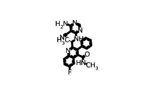 CNC(=O)c1c(-c2ccccc2)c([C@H](C)Nc2ncnc(N)c2C#N)nc2ccc(F)cc12